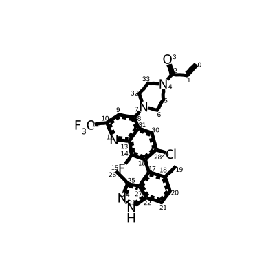 C=CC(=O)N1CCN(c2cc(C(F)(F)F)nc3c(F)c(-c4c(C)ccc5[nH]nc(C)c45)c(Cl)cc23)CC1